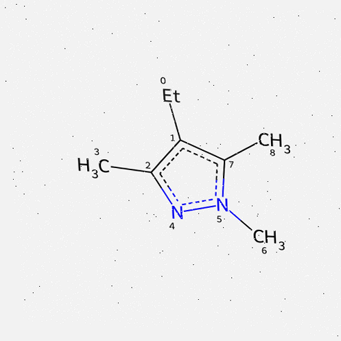 [CH2]Cc1c(C)nn(C)c1C